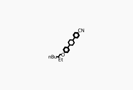 CCCCC(CC)COc1ccc(C2CCC(c3ccc(C#N)cc3)CC2)cc1